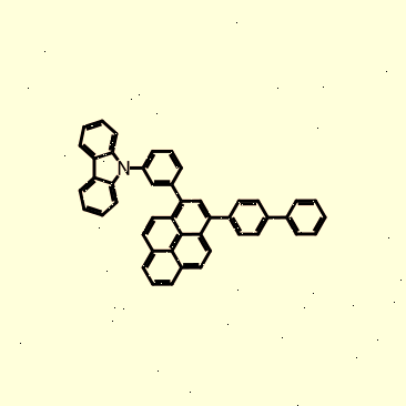 c1ccc(-c2ccc(-c3cc(-c4cccc(-n5c6ccccc6c6ccccc65)c4)c4ccc5cccc6ccc3c4c65)cc2)cc1